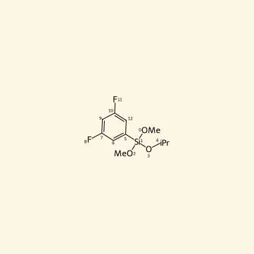 CO[Si](OC)(OC(C)C)c1cc(F)cc(F)c1